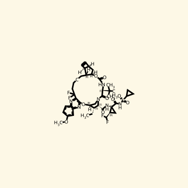 CC[C@@H]1[C@@H]2CN(C(=O)[C@H](C(C)(C)C)NC(=O)O[C@@H]3C[C@@H]4C#C[C@@H]4[C@H]3CCCCC(F)(F)c3nc4ccc(OC)cc4nc3O2)[C@@H]1C(=O)N[C@]1(C(=O)NS(=O)(=O)C2CC2)C[C@H]1C(F)F